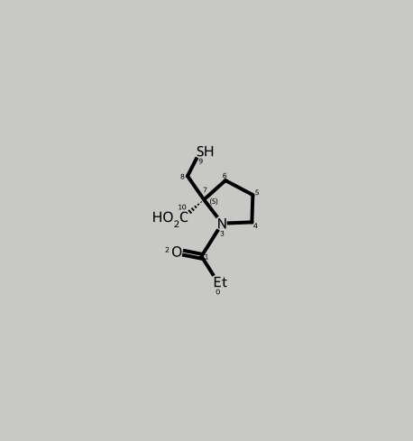 CCC(=O)N1CCC[C@@]1(CS)C(=O)O